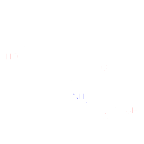 Nc1cc(Cc2ccccc2O)ccc1C(=O)CCC(=O)O